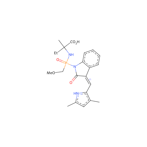 CCC(C)(NP(=O)(COC)N1C(=O)/C(=C\c2[nH]c(C)cc2C)c2ccccc21)C(=O)O